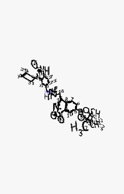 CC1(C)OB(c2ccc3c(c2)S(=O)(=O)N=C3CN/N=C/c2ccc3[nH]c(=O)n(C4CCC4)c3c2)OC1(C)C